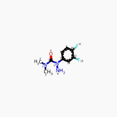 CN(C)C(=O)N(N)c1ccc(F)c(F)c1